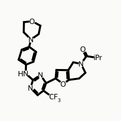 CC(C)C(=O)N1CCc2oc(-c3nc(Nc4ccc(N5CCOCC5)cc4)ncc3C(F)(F)F)cc2C1